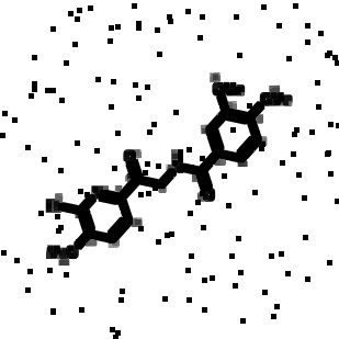 CCc1nc(C(=O)CNC(=O)c2ccc(OC)c(OC)c2)ccc1OC